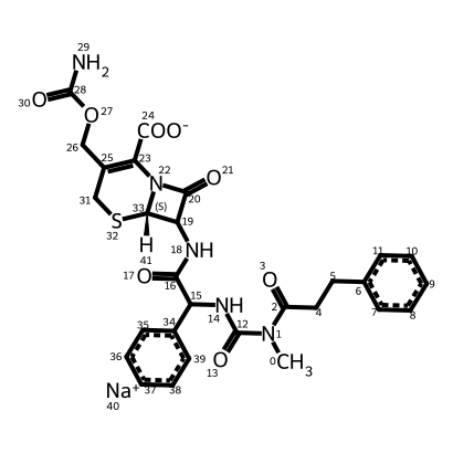 CN(C(=O)CCc1ccccc1)C(=O)NC(C(=O)NC1C(=O)N2C(C(=O)[O-])=C(COC(N)=O)CS[C@@H]12)c1ccccc1.[Na+]